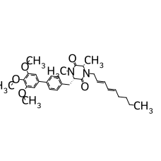 CCCCC=CC=CCN1C(=O)[C@H](Cc2ccc(-c3cc(OC)c(OC)c(OC)c3)cc2)N(C)C(=O)[C@@H]1C